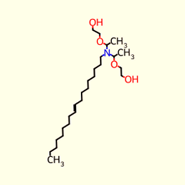 CCCCCCCCC=CCCCCCCCCN(C(C)OCCO)C(C)OCCO